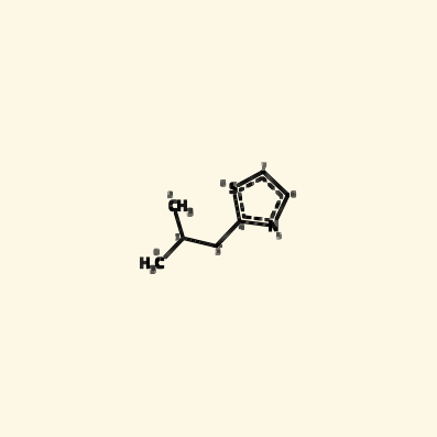 CC(C)[CH]c1nccs1